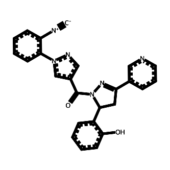 [C-]#[N+]c1ccccc1-n1cc(C(=O)N2N=C(c3cccnc3)CC2c2ccccc2O)cn1